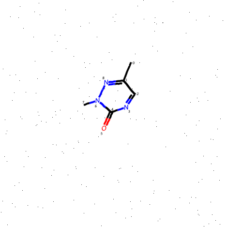 Cc1cnc(=O)n(C)n1